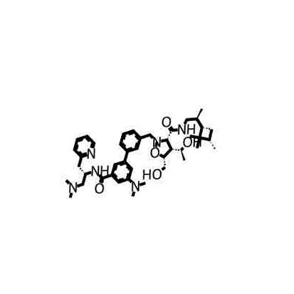 C[C@H](O)[C@@H]1[C@H](CO)ON(Cc2cccc(-c3cc(C(=O)N[C@@H](Cc4ccccn4)CN(C)C)cc(N(C)C)c3)c2)[C@@H]1C(=O)NC[C@@H](C)[C@@H]1C[C@H](C)C1(C)C